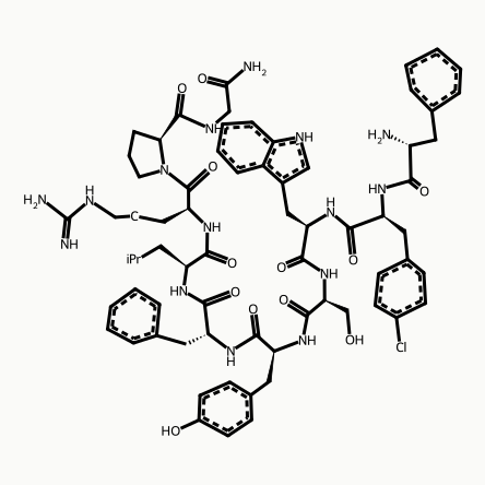 CC(C)C[C@H](NC(=O)[C@@H](Cc1ccccc1)NC(=O)[C@H](Cc1ccc(O)cc1)NC(=O)[C@H](CO)NC(=O)[C@@H](Cc1c[nH]c2ccccc12)NC(=O)[C@H](Cc1ccc(Cl)cc1)NC(=O)[C@H](N)Cc1ccccc1)C(=O)N[C@@H](CCCNC(=N)N)C(=O)N1CCC[C@H]1C(=O)NCC(N)=O